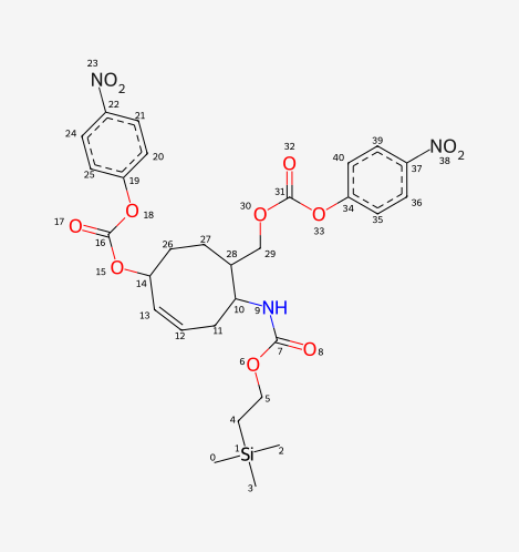 C[Si](C)(C)CCOC(=O)NC1CC=CC(OC(=O)Oc2ccc([N+](=O)[O-])cc2)CCC1COC(=O)Oc1ccc([N+](=O)[O-])cc1